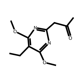 CCc1c(OC)nc(CC(C)=O)nc1OC